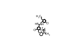 CCCc1ccc(Cl)cc1CNC(=P)c1cc(Cl)c(CN2CCCC(NC)C2)c(OC(F)(F)F)c1